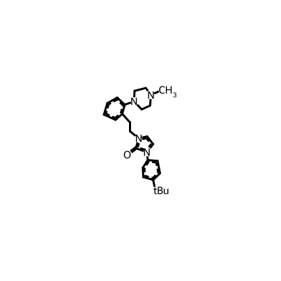 CN1CCN(c2ccccc2CCn2ccn(-c3ccc(C(C)(C)C)cc3)c2=O)CC1